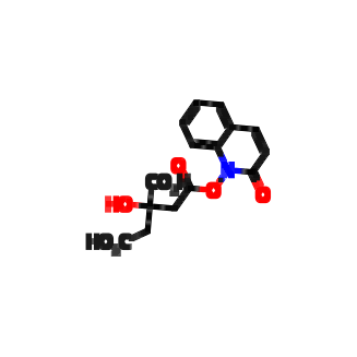 O=C(O)CC(O)(CC(=O)On1c(=O)ccc2ccccc21)C(=O)O